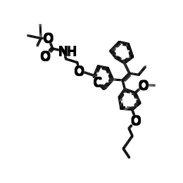 CCCCOc1ccc(/C(=C(\CC)c2ccccc2)c2ccc(OCCNC(=O)OC(C)(C)C)cc2)c(OC)c1